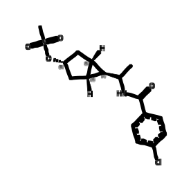 CC(NC(=O)c1ccc(Cl)cc1)[C@H]1[C@@H]2C[C@H](OS(C)(=O)=O)C[C@@H]21